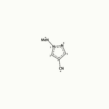 CNn1cc(C#N)cn1